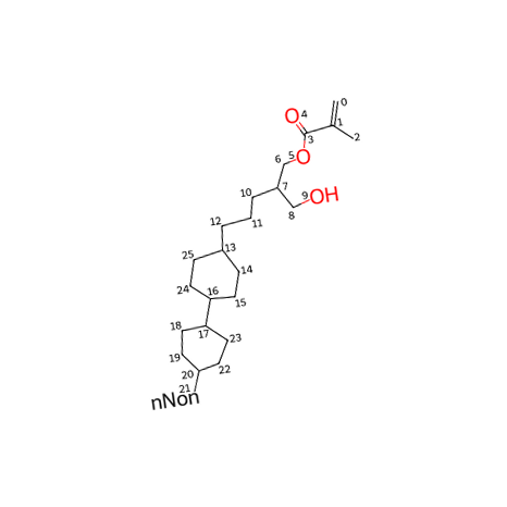 C=C(C)C(=O)OCC(CO)CCCC1CCC(C2CCC(CCCCCCCCC)CC2)CC1